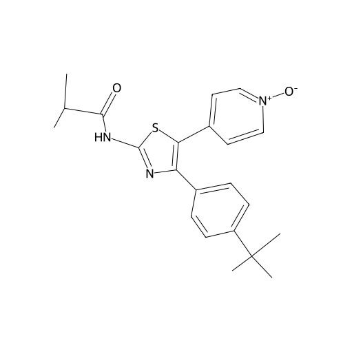 CC(C)C(=O)Nc1nc(-c2ccc(C(C)(C)C)cc2)c(-c2cc[n+]([O-])cc2)s1